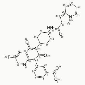 O=C(O)c1cccc(-n2c(=O)n(C3CCC(NC(=O)c4cn5ccccc5n4)CC3)c(=O)c3cc(F)cnc32)c1